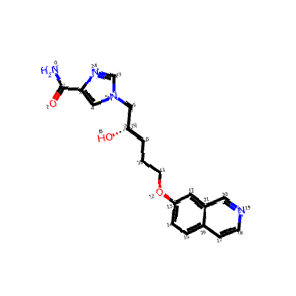 NC(=O)c1cn(C[C@@H](O)CCCOc2ccc3ccncc3c2)cn1